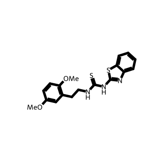 COc1ccc(OC)c(CCNC(=S)Nc2nc3ccccc3s2)c1